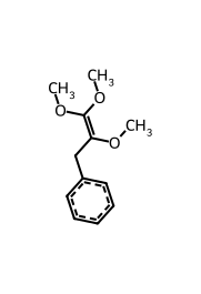 COC(Cc1ccccc1)=C(OC)OC